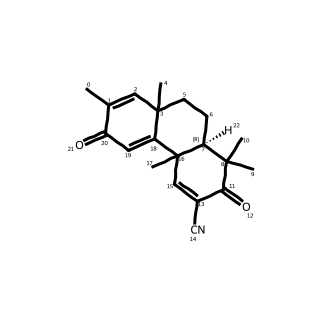 CC1=CC2(C)CC[C@H]3C(C)(C)C(=O)C(C#N)=CC3(C)C2=CC1=O